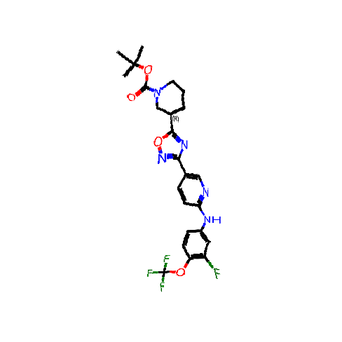 CC(C)(C)OC(=O)N1CCC[C@@H](c2nc(-c3ccc(Nc4ccc(OC(F)(F)F)c(F)c4)nc3)no2)C1